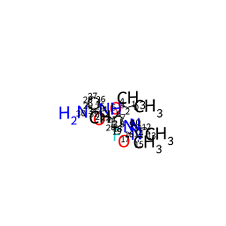 CCCC(C)Oc1cc(-n2nc(CC)n(C)c2=O)c(F)cc1C(=O)Nc1cccc(N)c1C